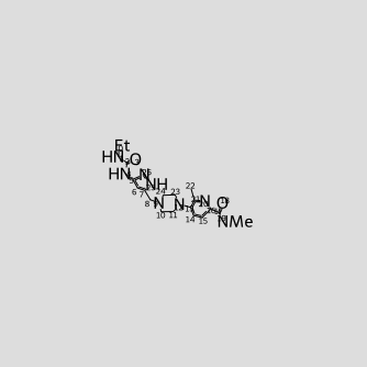 CCNC(=O)Nc1cc(CN2CCN(c3ccc(C(=O)NC)nc3C)CC2)[nH]n1